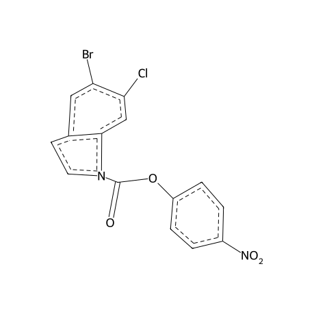 O=C(Oc1ccc([N+](=O)[O-])cc1)n1ccc2cc(Br)c(Cl)cc21